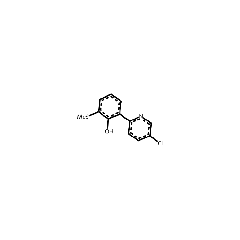 CSc1cccc(-c2ccc(Cl)cn2)c1O